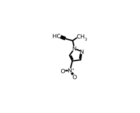 C#CC(C)n1cc([N+](=O)[O-])cn1